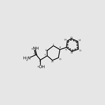 N=C(N)C(O)C1CCC(c2ccccc2)CC1